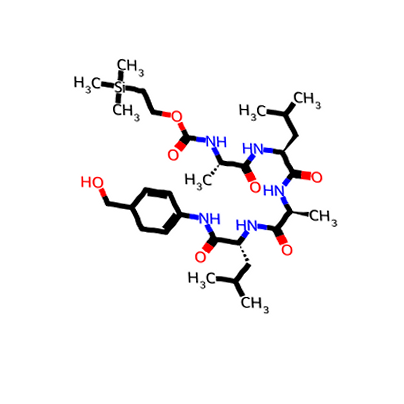 CC(C)C[C@H](NC(=O)[C@H](C)NC(=O)OCC[Si](C)(C)C)C(=O)N[C@@H](C)C(=O)N[C@H](CC(C)C)C(=O)NC1=CCC(CO)C=C1